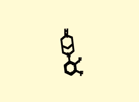 Fc1cccc(N2CC3CNCC(C3)C2)c1F